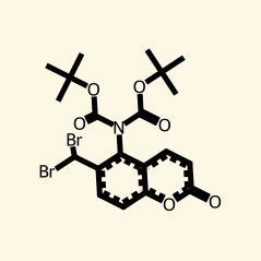 CC(C)(C)OC(=O)N(C(=O)OC(C)(C)C)c1c(C(Br)Br)ccc2oc(=O)ccc12